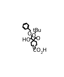 CC(C)(C)COC(=O)C1(C(O)COCc2ccccc2)CCN(C(=O)O)CC1